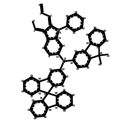 C=C/C=c1\c(=C/C)c2ccc(N(c3ccc4c(c3)-c3ccccc3C4(C)C)c3ccc4c(c3)-c3ccccc3C43c4ccccc4-c4ccccc43)cc2n1-c1ccccc1